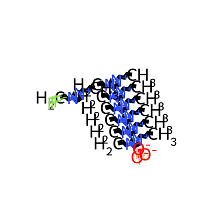 C=CCn1cc[n+](CCCC)c1.C=CCn1cc[n+](CCCC)c1.C=CCn1cc[n+](CCCC)c1.C=CCn1cc[n+](CCCC)c1.C=CCn1cc[n+](CCCC)c1.C=CCn1cc[n+](CCCC)c1.C=CCn1cc[n+](CCCC)c1.[F-].[F-].[F-].[F-].[O-]B([O-])[O-]